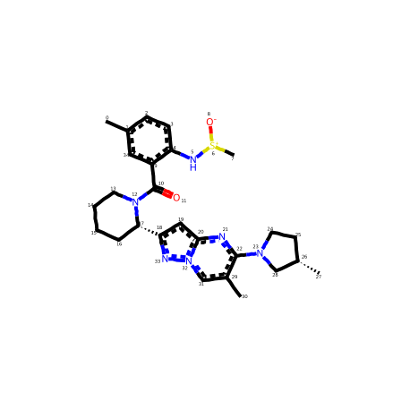 Cc1ccc(N[S+](C)[O-])c(C(=O)N2CCCC[C@H]2c2cc3nc(N4CC[C@H](C)C4)c(C)cn3n2)c1